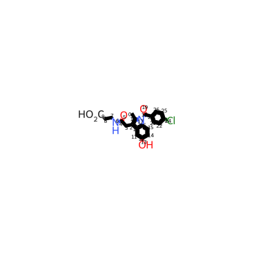 Cc1c(CC(=O)NCCC(=O)O)c2cc(O)ccc2n1C(=O)c1ccc(Cl)cc1